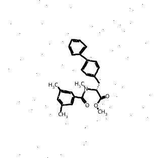 COC(=O)[C@@H](Cc1ccc(-c2ccccc2)cc1)N(C)C(=O)c1cc(C)cc(C)c1